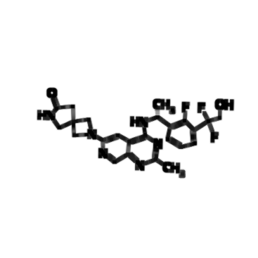 Cc1nc(N[C@H](C)c2cccc(C(F)(F)CO)c2F)c2cc(N3CC4(CNC(=O)C4)C3)ncc2n1